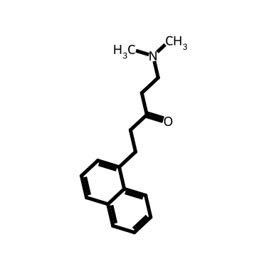 CN(C)CCC(=O)CCc1cccc2ccccc12